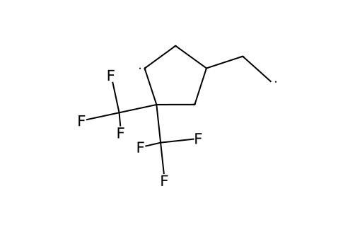 [CH2]CC1C[CH]C(C(F)(F)F)(C(F)(F)F)C1